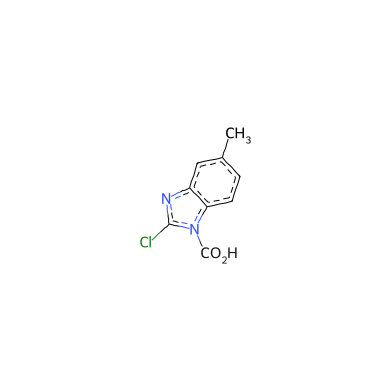 Cc1ccc2c(c1)nc(Cl)n2C(=O)O